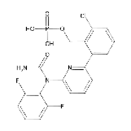 NC(=O)N(c1cccc(-c2cccc(Cl)c2COP(=O)(O)O)n1)c1c(F)cccc1F